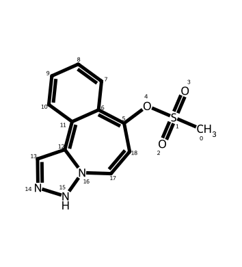 CS(=O)(=O)OC1=c2ccccc2=C2C=NNN2C=C1